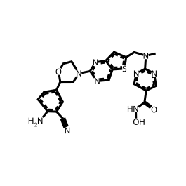 CN(Cc1cc2nc(N3CCOC(c4ccc(N)c(C#N)c4)C3)ncc2s1)c1ncc(C(=O)NO)cn1